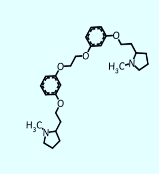 CN1CCCC1CCOc1cccc(OCCOc2cccc(OCCC3CCCN3C)c2)c1